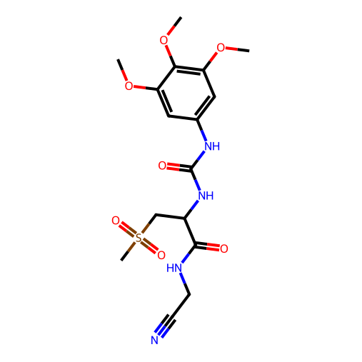 COc1cc(NC(=O)NC(CS(C)(=O)=O)C(=O)NCC#N)cc(OC)c1OC